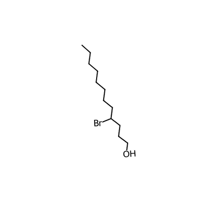 CCCCCCCCC(Br)CCCO